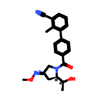 CO/N=C1\C[C@@H]([C@H](C)O)N(C(=O)c2ccc(-c3cccc(C#N)c3C)cc2)C1